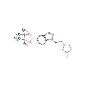 CC1(C)OB(c2ccc3c(cnn3CCN3CCC(F)C3)c2)OC1(C)C